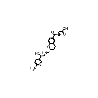 Nc1ccc([C@@H](O)CNC[C@H]2CCc3cc(C(=O)NCC(=O)O)ccc3O2)cn1